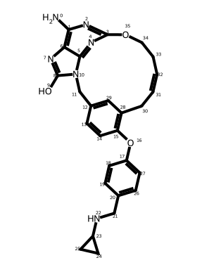 Nc1nc2nc3c1nc(O)n3Cc1ccc(Oc3ccc(CNC4CC4)cc3)c(c1)C/C=C\CCO2